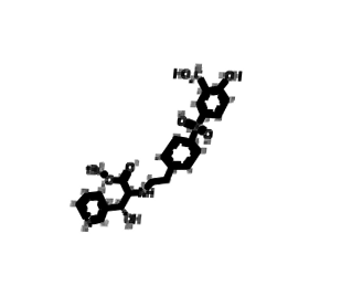 CC(C)(C)OC(=O)C(NCCc1ccc(S(=O)(=O)c2ccc(O)c(C(=O)O)c2)cc1)[C@H](O)c1cccnc1